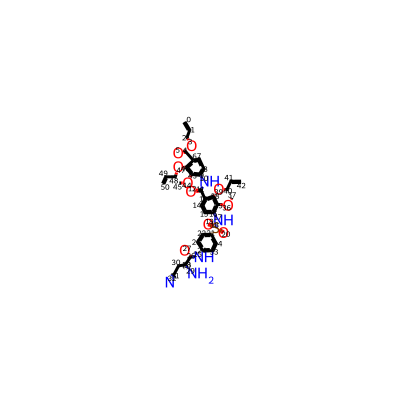 C=CCOC(=O)c1ccc(NC(=O)c2ccc(NS(=O)(=O)c3ccc(NC(=O)[C@@H](N)CC#N)cc3)c(OC)c2OCC=C)c(OC)c1OCC=C